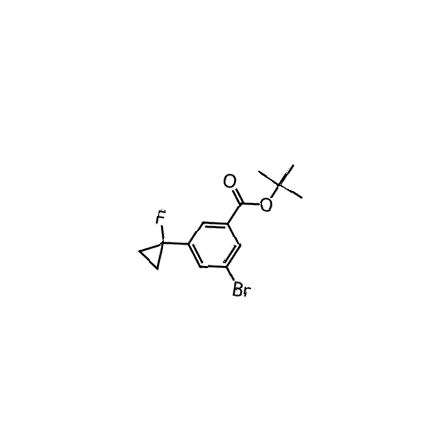 CC(C)(C)OC(=O)c1cc(Br)cc(C2(F)CC2)c1